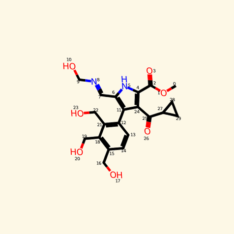 COC(=O)c1[nH]c(/C=N/CO)c(-c2ccc(CO)c(CO)c2CO)c1C(=O)C1CC1